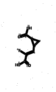 O=C(O)C(F)=CC1CC1C(=O)O